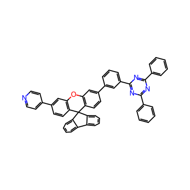 c1ccc(-c2nc(-c3ccccc3)nc(-c3cccc(-c4ccc5c(c4)Oc4cc(-c6ccncc6)ccc4C54c5ccccc5-c5ccccc54)c3)n2)cc1